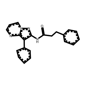 O=C(CCc1ccccc1)Nc1nn2cccnc2c1-c1ccccc1